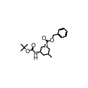 CC1CC(NC(=O)OC(C)(C)C)CN(C(=O)OCc2ccccc2)C1